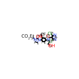 CCOC(=O)CN1CCN(c2ccc(N(CCO)C(=O)c3c(Cl)ncnc3Cl)cc2OC(F)(F)F)C1=O